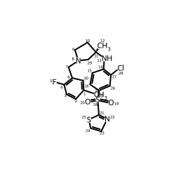 Cc1ccc(F)c(CN2CC[C@](C)(Nc3ccc(S(=O)(=O)c4n[c]cs4)cc3Cl)C2)c1